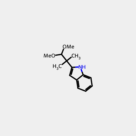 COC(OC)C(C)(C)c1cc2ccccc2[nH]1